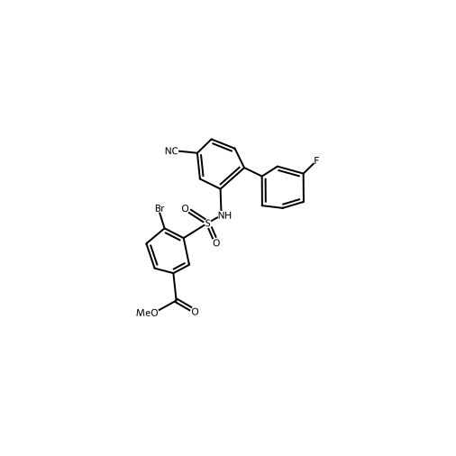 COC(=O)c1ccc(Br)c(S(=O)(=O)Nc2cc(C#N)ccc2-c2cccc(F)c2)c1